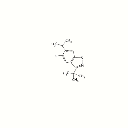 CC(C)c1cc2snc(C(C)(C)C)c2cc1F